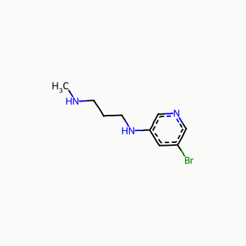 CNCCCNc1cncc(Br)c1